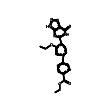 CCOC(=O)c1ccc(-c2ccc(-c3nc4[nH]nnc4c(=O)[nH]3)c(OCC)c2)cc1